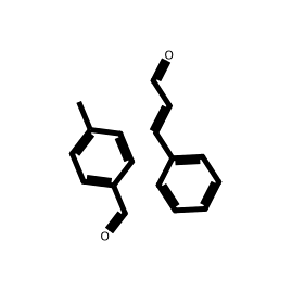 Cc1ccc(C=O)cc1.O=CC=Cc1ccccc1